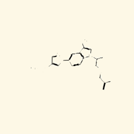 C=C(C)COCC(C)n1cc(C#N)c2cc(-n3cc(C(=O)OCC)cn3)ccc21